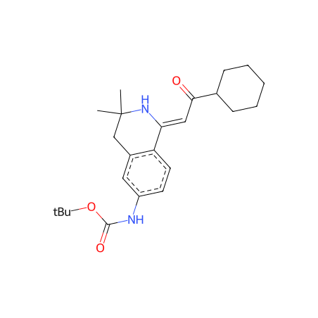 CC1(C)Cc2cc(NC(=O)OC(C)(C)C)ccc2C(=CC(=O)C2CCCCC2)N1